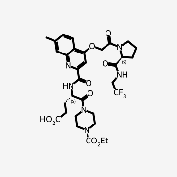 CCOC(=O)N1CCN(C(=O)[C@H](CCC(=O)O)NC(=O)c2cc(OCC(=O)N3CCC[C@H]3C(=O)NCC(F)(F)F)c3ccc(C)cc3n2)CC1